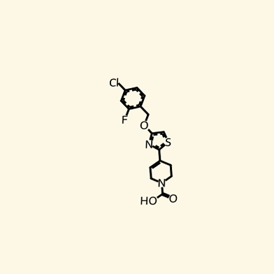 O=C(O)N1CC=C(c2nc(OCc3ccc(Cl)cc3F)cs2)CC1